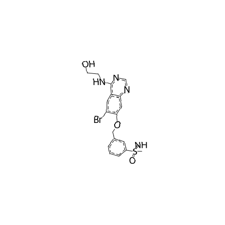 CS(=N)(=O)c1cccc(COc2cc3ncnc(NCCO)c3cc2Br)c1